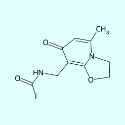 Cc1cc(=O)c(CNC(=O)I)c2n1CCO2